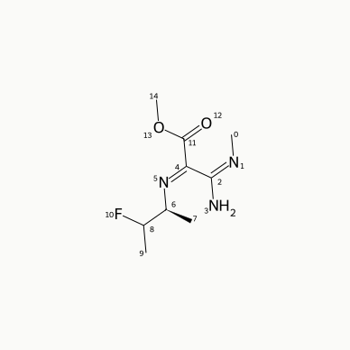 C/N=C(N)\C(=N/[C@@H](C)C(C)F)C(=O)OC